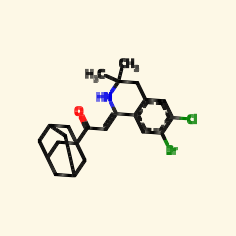 CC1(C)Cc2cc(Cl)c(Br)cc2C(=CC(=O)C23CC4CC(CC(C4)C2)C3)N1